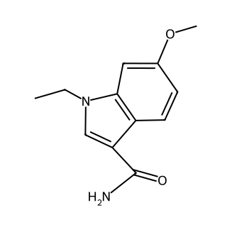 CCn1cc(C(N)=O)c2ccc(OC)cc21